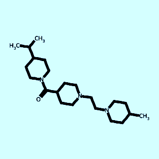 CC1CCN(CCN2CCC(C(=O)N3CCC(C(C)C)CC3)CC2)CC1